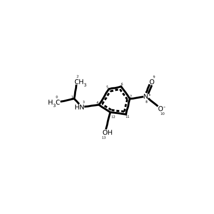 CC(C)Nc1ccc([N+](=O)[O-])cc1O